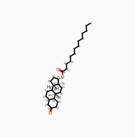 CCCCCCCCCCCCCC(=O)O[C@H]1CC[C@H]2[C@@H]3CCC4CC(=O)CC[C@]4(C)[C@H]3CC[C@]12C